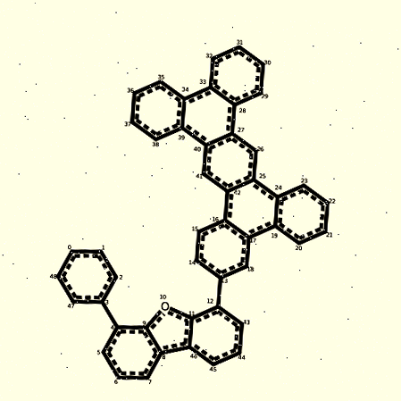 c1ccc(-c2cccc3c2oc2c(-c4ccc5c(c4)c4ccccc4c4cc6c7ccccc7c7ccccc7c6cc54)cccc23)cc1